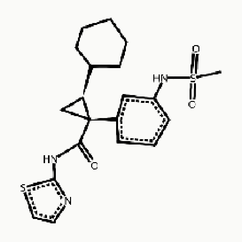 CS(=O)(=O)Nc1cccc([C@@]2(C(=O)Nc3nccs3)C[C@H]2C2CCCCC2)c1